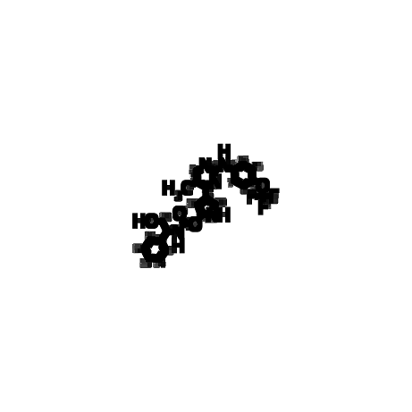 Cc1cnc(Nc2ccc(OC(F)(F)F)cc2)nc1-c1c[nH]c(OC(=O)NC(CO)c2ccccc2)c1